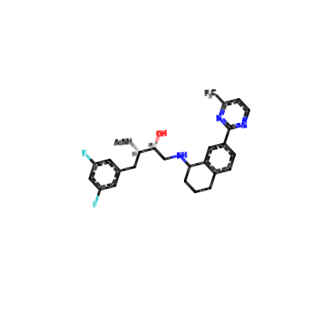 CC(=O)N[C@@H](Cc1cc(F)cc(F)c1)[C@H](O)CNC1CCCc2ccc(-c3nccc(C(F)(F)F)n3)cc21